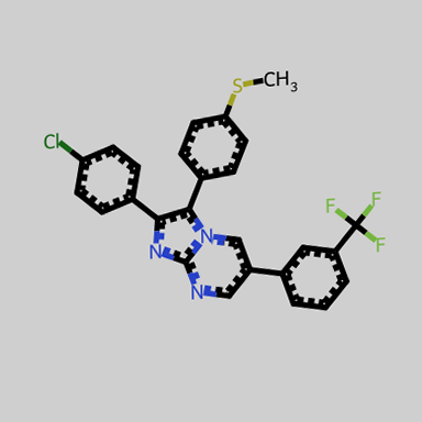 CSc1ccc(-c2c(-c3ccc(Cl)cc3)nc3ncc(-c4cccc(C(F)(F)F)c4)cn23)cc1